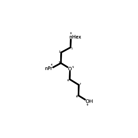 CCCCCCCCC(CCC)OCCCO